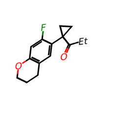 CCC(=O)C1(c2cc3c(cc2F)OCCC3)CC1